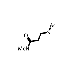 CNC(=O)CCSC(C)=O